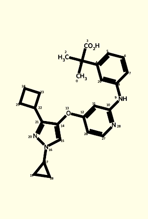 CC(C)(C(=O)O)c1cccc(Nc2cc(Oc3cn(C4CC4)nc3C3CCC3)ccn2)c1